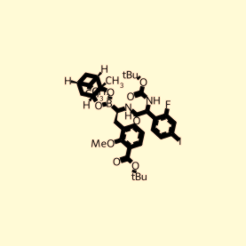 COc1c(C[C@H](NC(=O)C(NC(=O)OC(C)(C)C)c2ccc(I)cc2F)B2O[C@@H]3C[C@@H]4C[C@@H](C4(C)C)[C@]3(C)O2)cccc1C(=O)OC(C)(C)C